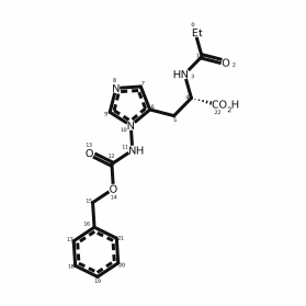 CCC(=O)N[C@@H](Cc1cncn1NC(=O)OCc1ccccc1)C(=O)O